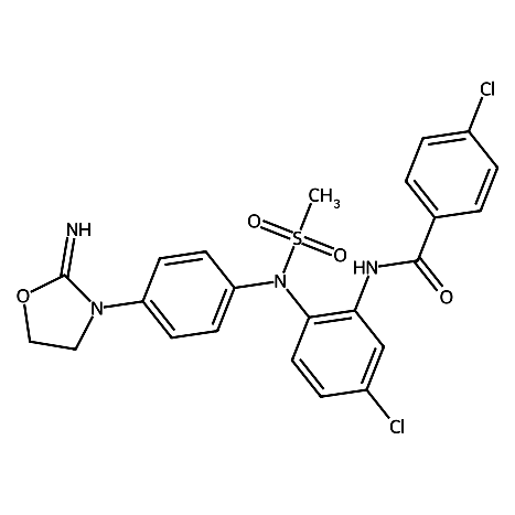 CS(=O)(=O)N(c1ccc(N2CCOC2=N)cc1)c1ccc(Cl)cc1NC(=O)c1ccc(Cl)cc1